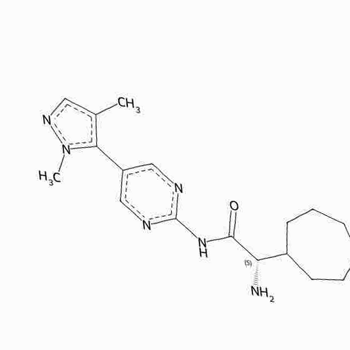 Cc1cnn(C)c1-c1cnc(NC(=O)[C@@H](N)C2CCCCCC2)nc1